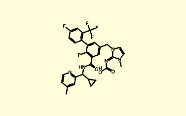 Cc1ccnc(C(NC(=O)c2cc(Cn3ccn(C)c3=NC(=O)O)cc(-c3ccc(F)cc3C(F)(F)F)c2F)C2CC2)c1